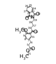 CCOC(=O)CCc1ccc(OC)c(C(=O)CCCCN2C(=O)c3ccccc3C2=O)c1